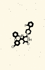 CC(C(=O)O)c1c(C(=O)N2CCC(c3ccccc3F)CC2)nn(-c2ccccc2Cl)c1-c1ccc(Cl)cc1